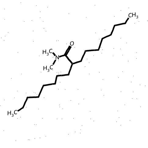 CCCCCCCCC(CCCCCCCC)C(=O)N(C)C